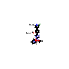 COCOc1cc(-c2cc(F)nc(OC)c2)ccc1-c1cnc(N(C2CC2)[C@H]2C[C@@H]3CC[C@H]([C@H]2F)N3C(=O)OC(C)(C)C)cn1